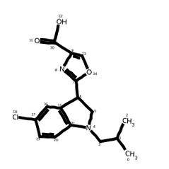 CC(C)CN1CC(c2nc(C(=O)O)co2)c2cc(Cl)ccc21